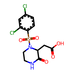 O=C(O)CC1C(=O)NCCN1S(=O)(=O)c1ccc(Cl)cc1Cl